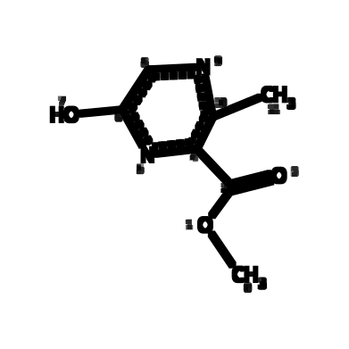 COC(=O)c1nc(O)cnc1C